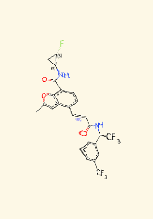 Cc1cc2c(/C=C/C(=O)NC(c3cccc(C(F)(F)F)c3)C(F)(F)F)ccc(C(=O)N[C@H]3C[C@@H]3F)c2o1